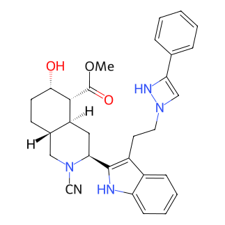 COC(=O)[C@@H]1[C@H]2C[C@@H](c3[nH]c4ccccc4c3CCn3cc(-c4ccccc4)[nH]3)N(C#N)C[C@@H]2CC[C@@H]1O